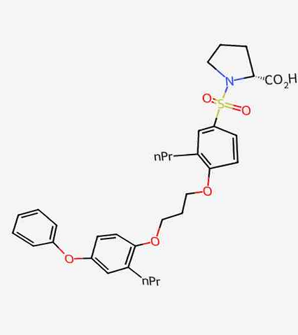 CCCc1cc(Oc2ccccc2)ccc1OCCCOc1ccc(S(=O)(=O)N2CCC[C@@H]2C(=O)O)cc1CCC